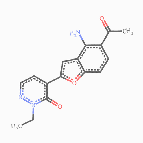 CCn1nccc(-c2cc3c(N)c(C(C)=O)ccc3o2)c1=O